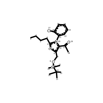 CCCCc1nc(CO[Si](C)(C)C(C)(C)C)c(C(C)=O)n1-c1ccccc1Cl